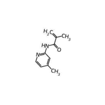 C=C(C)C(=O)Nc1cc(C)ccn1